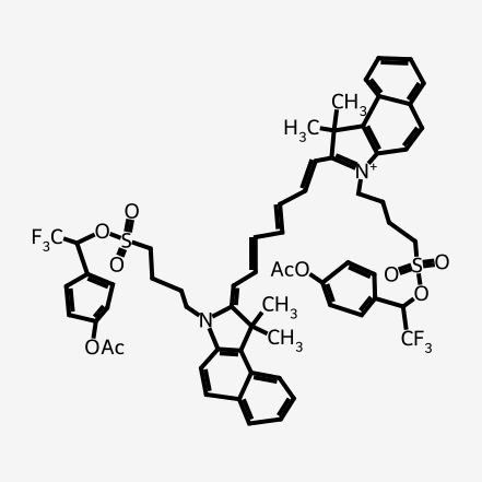 CC(=O)Oc1ccc(C(OS(=O)(=O)CCCCN2/C(=C/C=C/C=C/C=C/C3=[N+](CCCCS(=O)(=O)OC(c4ccc(OC(C)=O)cc4)C(F)(F)F)c4ccc5ccccc5c4C3(C)C)C(C)(C)c3c2ccc2ccccc32)C(F)(F)F)cc1